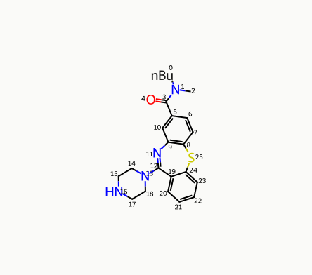 CCCCN(C)C(=O)c1ccc2c(c1)N=C(N1CCNCC1)c1ccccc1S2